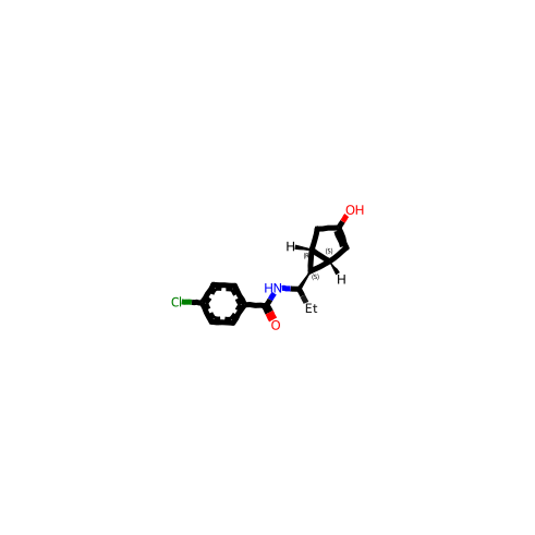 CCC(NC(=O)c1ccc(Cl)cc1)[C@@H]1[C@H]2C=C(O)C[C@H]21